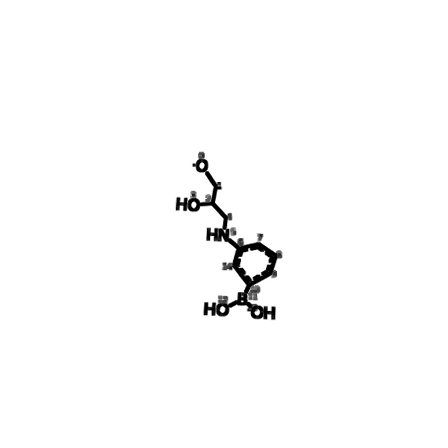 [O]CC(O)CNc1cccc(B(O)O)c1